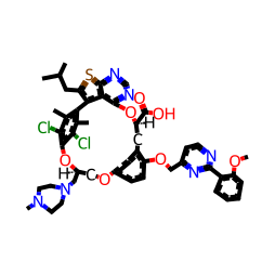 COc1ccccc1-c1nccc(COc2ccc3cc2C[C@H](C(=O)O)Oc2ncnc4sc(CC(C)C)c(c24)-c2c(C)c(Cl)c(c(Cl)c2C)O[C@H](CN2CCN(C)CC2)CO3)n1